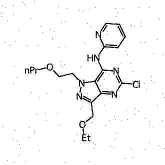 CCCOCCn1nc(COCC)c2nc(Cl)nc(Nc3ccccn3)c21